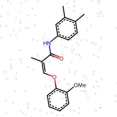 COc1ccccc1OC=C(C)C(=O)Nc1ccc(C)c(C)c1